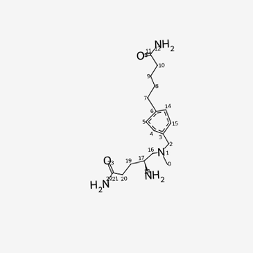 CN(Cc1ccc(CCCCC(N)=O)cc1)C[C@@H](N)CCC(N)=O